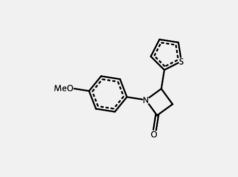 COc1ccc(N2C(=O)CC2c2cccs2)cc1